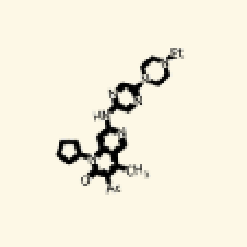 CCN1CCN(c2cnc(Nc3cc4c(cn3)c(C)c(C(C)=O)c(=O)n4C3CCCC3)cn2)CC1